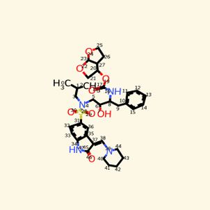 CC(C)CN(CC(O)C(Cc1ccccc1)NC(=O)OC1COC2OCCC12)S(=O)(=O)c1ccc2c(c1)C(=CN1CCCCC1)C(=O)N2